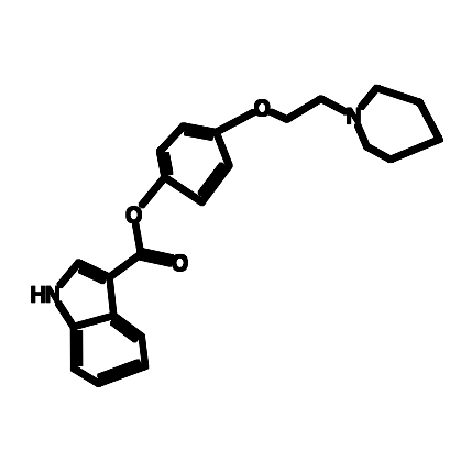 O=C(Oc1ccc(OCCN2CCCCC2)cc1)c1c[nH]c2ccccc12